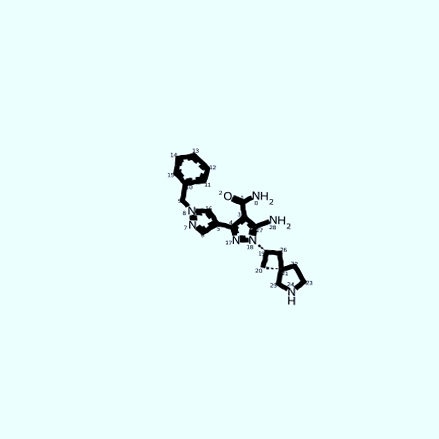 NC(=O)c1c(-c2cnn(Cc3ccccc3)c2)nn([C@H]2C[C@@]3(CCNC3)C2)c1N